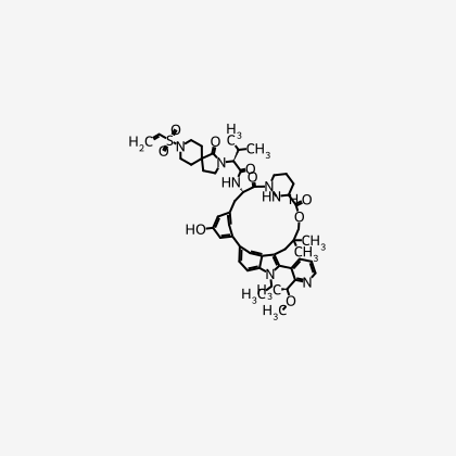 C=CS(=O)(=O)N1CCC2(CCN([C@H](C(=O)N[C@H]3Cc4cc(O)cc(c4)-c4ccc5c(c4)c(c(-c4cccnc4[C@H](C)OC)n5CC)CC(C)(C)COC(=O)[C@@H]4CCCN(N4)C3=O)C(C)C)C2=O)CC1